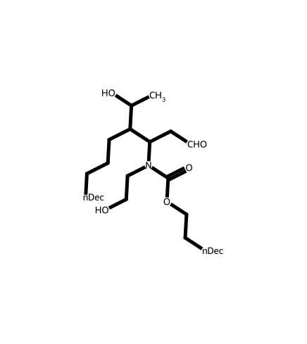 CCCCCCCCCCCCCC(C(C)O)C(CC=O)N(CCO)C(=O)OCCCCCCCCCCCC